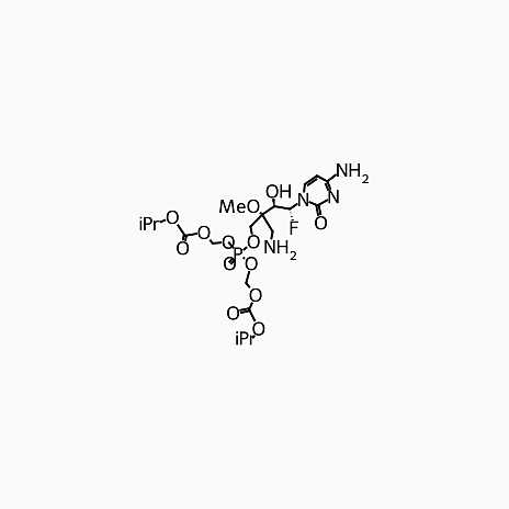 CO[C@](CN)(COP(=O)(OCOC(=O)OC(C)C)OCOC(=O)OC(C)C)[C@@H](O)[C@@H](F)n1ccc(N)nc1=O